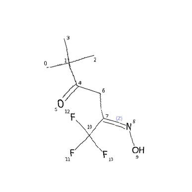 CC(C)(C)C(=O)C/C(=N/O)C(F)(F)F